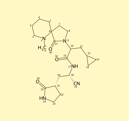 CN1CCCCC12CCN(C(CC1CC1)C(=O)N[C@H](C#N)C[C@@H]1CCNC1=O)C2=O